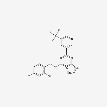 Fc1ccc(CNc2nc(-c3cncc(C(F)(F)F)c3)nc3[nH]cnc23)c(F)c1